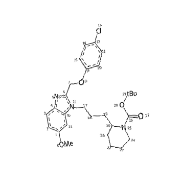 COc1ccc2nc(COc3ccc(Cl)cc3)n(CCCC3CCCCN3C(=O)OC(C)(C)C)c2c1